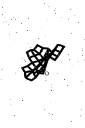 O=NC1C2CC3C4CC5C41C14C6CC7C8CC6C69C%10CC%11C%12CC%13C%12%14C%11%10C8(C8CC%10C%11CC2C3%11C%1086)C%14(C5%131)C794